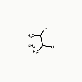 CCC(C)C(C)Cl.[SiH4]